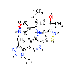 Cc1nnn(C)c1-c1cnc2c3snc(C(C)(C)O)c3n(C(CCC(F)(F)F)c3cnoc3)c2c1